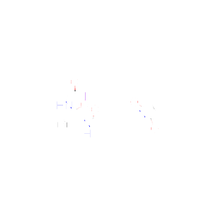 CC(NC(=O)C(NC(=O)CCCCCN1C(=O)C=CC1=O)C(C)C)C(=O)I